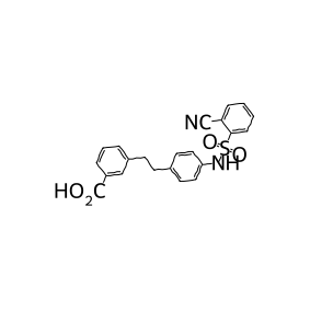 N#Cc1ccccc1S(=O)(=O)Nc1ccc(CCc2cccc(C(=O)O)c2)cc1